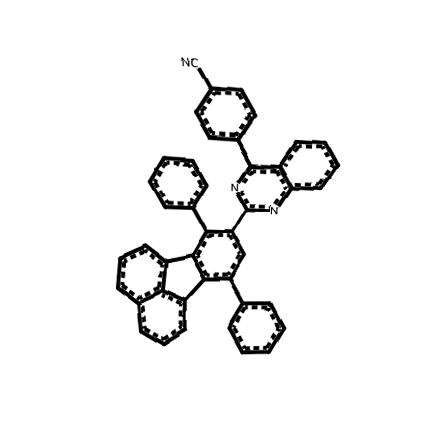 N#Cc1ccc(-c2nc(-c3cc(-c4ccccc4)c4c(c3-c3ccccc3)-c3cccc5cccc-4c35)nc3ccccc23)cc1